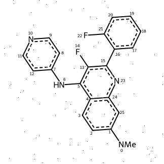 CNc1ccc2c(Nc3ccncc3)c(F)c(-c3ccccc3F)nc2c1